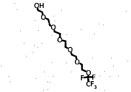 OCCOCCOCCOCCOCCOCCOC(F)(F)C(F)(F)F